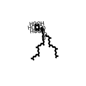 CC(C)CCCC(C)CCCC(C)CCCC(C)CCOCC(COP(=O)(O)OC1C(O)C(O)C(O)C(O)C1O)OCCC(C)CCCC(C)CCCC(C)CCCC(C)C